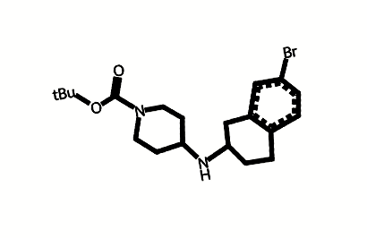 CC(C)(C)OC(=O)N1CCC(NC2CCc3ccc(Br)cc3C2)CC1